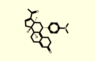 CC(=O)C1=CC[C@H]2[C@@H]3CCC4=CC(=O)CCC4=C3[C@@H](c3ccc(N(C)C)cc3)C[C@]12C